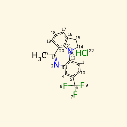 CC1=Nc2cc(C(F)(F)F)ccc2N2CCc3cccc1c32.Cl